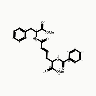 COC(=O)C(Cc1ccccc1)NC(=O)C=CCC(NC(=O)c1ccccc1)C(=O)OC